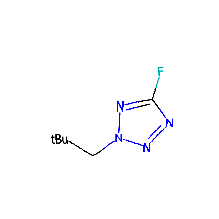 CC(C)(C)Cn1nnc(F)n1